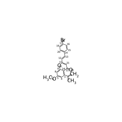 C=C(C)c1cc(OC)cc2oc(/C=C/c3ccc(Br)cc3)cc(=O)c12